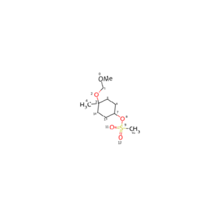 COCOC1(C)CCC(OS(C)(=O)=O)CC1